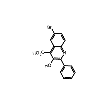 O=C(O)c1c(O)c(-c2ccccc2)nc2ccc(Br)cc12